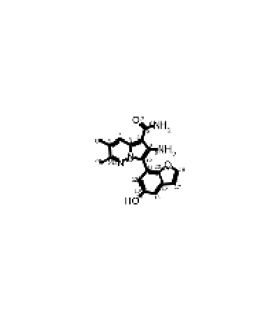 Cc1cc2c(C(N)=O)c(N)c(-c3cc(O)cc4ccoc34)n2nc1C